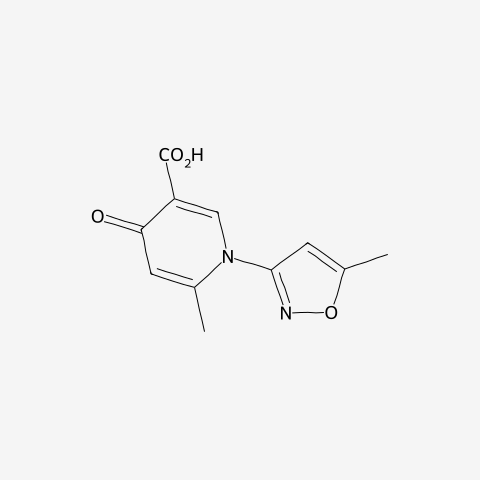 Cc1cc(-n2cc(C(=O)O)c(=O)cc2C)no1